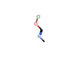 C/N=C/OCl